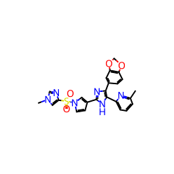 Cc1cccc(-c2[nH]c(-c3ccn(S(=O)(=O)c4cn(C)cn4)c3)nc2-c2ccc3c(c2)OCO3)n1